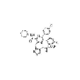 O=C(O)NCc1cnnn1Cc1nc(-c2ccc(Cl)cc2)c(-c2ccc(Cl)cc2)nc1C(=O)NN1CCCCC1